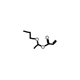 C=CC(=O)OC(C)OCCC